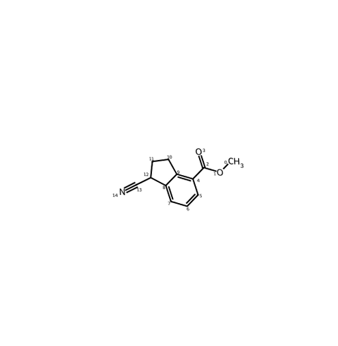 COC(=O)c1cccc2c1CCC2C#N